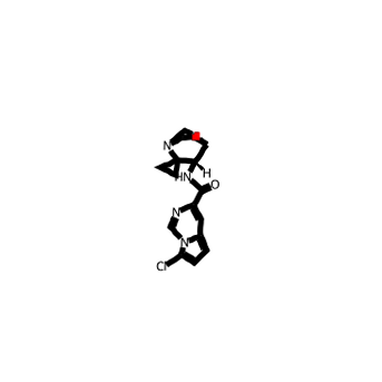 O=C(N[C@H]1C2CCN(CC2)C12CC2)c1cc2ccc(Cl)n2cn1